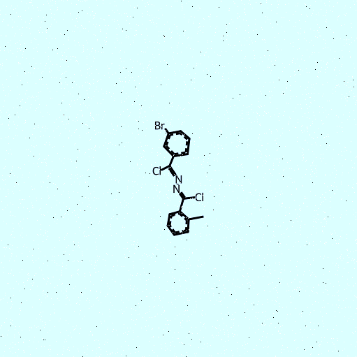 Cc1ccccc1C(Cl)=NN=C(Cl)c1cccc(Br)c1